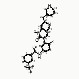 Cc1ccc(NC(=O)c2cccc(C(F)(F)F)c2)cc1-c1cc2cnc(Cc3cccnc3)cc2n(C)c1=O